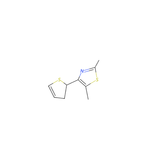 Cc1nc(C2CC=CS2)c(C)s1